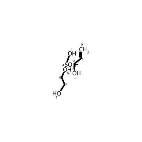 C=CCO.O=S(=O)(O)O.OCCO